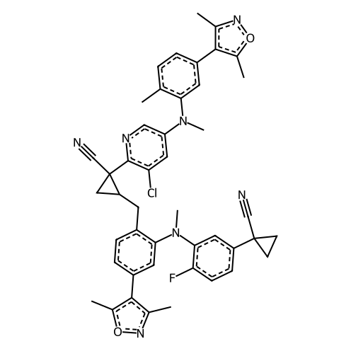 Cc1ccc(-c2c(C)noc2C)cc1N(C)c1cnc(C2(C#N)CC2Cc2ccc(-c3c(C)noc3C)cc2N(C)c2cc(C3(C#N)CC3)ccc2F)c(Cl)c1